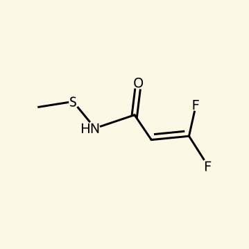 CSNC(=O)C=C(F)F